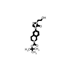 CC(C)(C)OC(=O)N1CCc2cc(-n3cnn(CCO)c3=O)ccc2C1